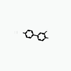 Cc1ccc(-c2ccc(C)c(I)c2)cc1